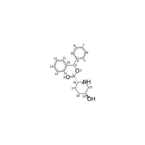 O=C(OC(c1ccccc1)c1ccccc1)[C@H]1CC[C@H](O)CN1